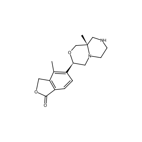 Cc1c([C@@H]2CN3CCNC[C@@]3(C)CO2)ccc2c1COC2=O